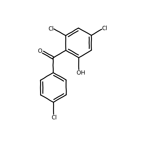 O=C(c1ccc(Cl)cc1)c1c(O)cc(Cl)cc1Cl